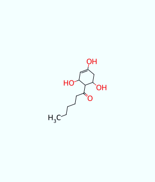 CCCCCC(=O)C1C(O)C=C(O)CC1O